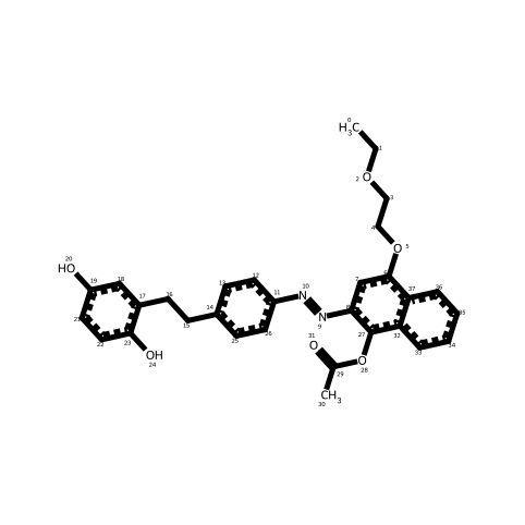 CCOCCOc1cc(N=Nc2ccc(CCc3cc(O)ccc3O)cc2)c(OC(C)=O)c2ccccc12